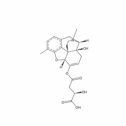 Cc1ccc2c3c1O[C@H]1C(OC(=O)C[C@@H](O)C(=O)O)=CC[C@@]4(O)[C@@H](C2)N(C)CC[C@]314